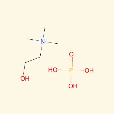 C[N+](C)(C)CCO.O=P(O)(O)O